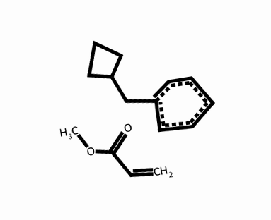 C=CC(=O)OC.c1ccc(CC2CCC2)cc1